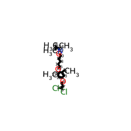 CCc1cc(OCC=C(Cl)Cl)cc(C)c1OCCCCCON=C(C)C(C)C